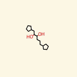 OC(CCCC1CCCC1)C(O)CC1CCCC1